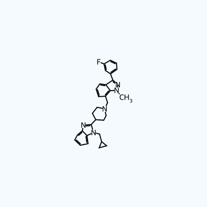 Cn1nc(-c2cccc(F)c2)c2cccc(CN3CCC(c4nc5ccccc5n4CC4CC4)CC3)c21